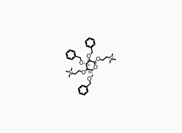 C[Si](C)(C)CCO[C@H]1O[C@H](COCc2ccccc2)[C@@H](OCC[Si](C)(C)C)[C@H](OCc2ccccc2)[C@H]1OCc1ccccc1